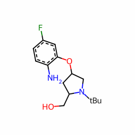 CC(C)(C)N1CC(Oc2cc(F)ccc2N)CC1CO